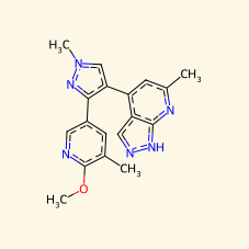 COc1ncc(-c2nn(C)cc2-c2cc(C)nc3[nH]ncc23)cc1C